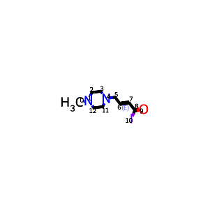 CN1CCN(C/C=C/C(=O)I)CC1